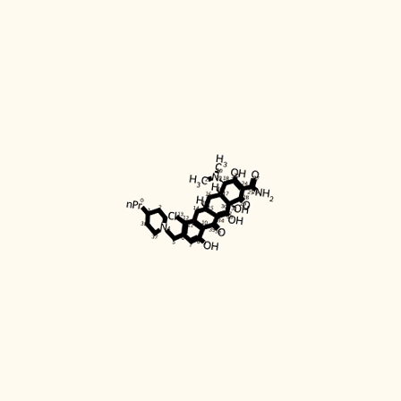 CCCC1CCN(Cc2cc(O)c3c(c2Cl)C[C@H]2C[C@H]4[C@H](N(C)C)C(O)=C(C(N)=O)C(=O)[C@@]4(O)C(O)=C2C3=O)CC1